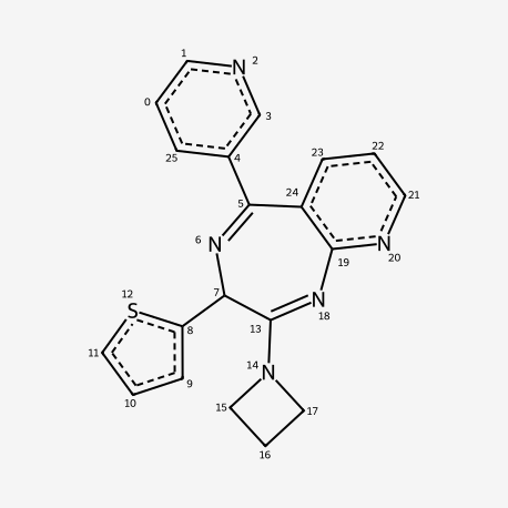 c1cncc(C2=NC(c3cccs3)C(N3CCC3)=Nc3ncccc32)c1